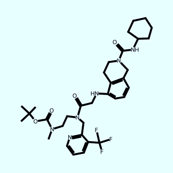 CN(CCN(Cc1ncccc1C(F)(F)F)C(=O)CNc1cccc2c1CCN(C(=O)NC1CCCCC1)C2)C(=O)OC(C)(C)C